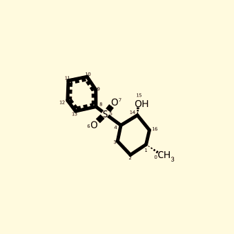 C[C@@H]1CCC(S(=O)(=O)c2ccccc2)[C@H](O)C1